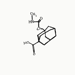 CNC(=O)OC12CC3CC(C1)CC(C(=O)O)(C3)C2